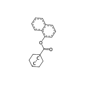 O=C(Oc1cccc2ccccc12)C12CCC(CC1)CC2